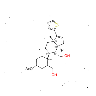 CC(=O)OC1CCC(C)([C@H]2CC[C@]3(C)C(c4cccs4)=CC[C@H]3[C@@H]2CO)C(CO)C1